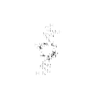 Nc1nc2c(ncn2C2O[C@@H]3COS(=O)(=O)N[C@H]4[C@@H](F)[C@H](n5cnc6c(N)ncnc65)O[C@@H]4COP(=O)(S)O[C@@H]2C3)c(=O)[nH]1